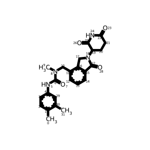 Cc1ccc(NC(=O)N(C)Cc2cccc3c2CN(C2CCC(=O)NC2=O)C3=O)cc1C